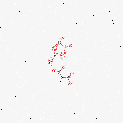 O=C(O)C(=O)O.O=C([O-])CC(=O)[O-].OB(O)O.[Li+].[Li+]